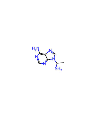 CC(N)n1cnc2c(N)ncnc21